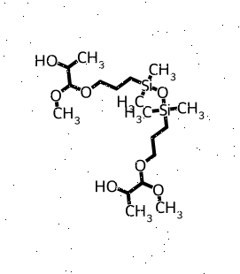 COC(OCCC[Si](C)(C)O[Si](C)(C)CCCOC(OC)C(C)O)C(C)O